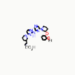 CCOc1ccccc1OC1CCCN(c2cncc(Nc3nccc(N4CCCC(/C=C/C(=O)O)C4)n3)n2)C1